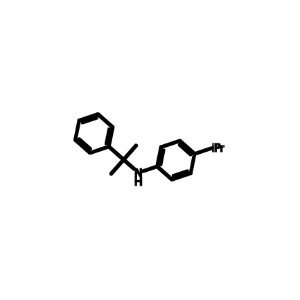 CC(C)c1ccc(NC(C)(C)c2ccccc2)cc1